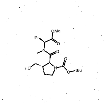 COC(=O)[C@H](C(C)C)N(C)C(=O)[C@@H]1[C@@H](CO)CCN1C(=O)OC(C)(C)C